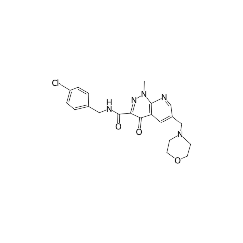 Cn1nc(C(=O)NCc2ccc(Cl)cc2)c(=O)c2cc(CN3CCOCC3)cnc21